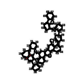 Cc1cc2c3cc(N(c4ccccc4-c4ccccc4)c4cccc5c4oc4ccccc45)c4ccccc4c3oc2c2cccc(-c3ccc(-c4ccccc4Nc4cccc5c4oc4ccccc45)cc3)c12